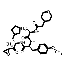 COc1ccc(C[C@H](NC(=O)[C@@H](C)NC(=O)CC2CCOCC2)C(=O)N[C@@H](CC2CCCC2)C(=O)[C@]2(C)CO2)cc1